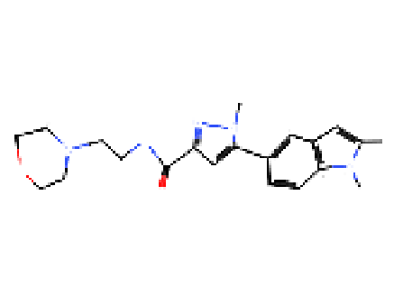 Cc1cc2cc(-c3cc(C(=O)NCCN4CCOCC4)nn3C)ccc2n1C